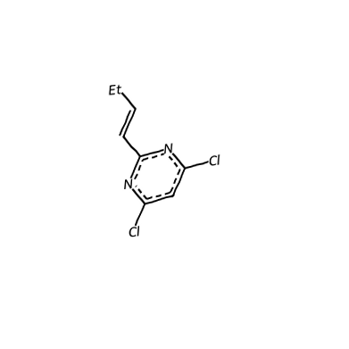 CC/C=C/c1nc(Cl)cc(Cl)n1